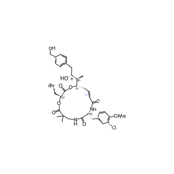 COc1ccc(C[C@H]2NC(=O)/C=C/C[C@@H]([C@H](C)[C@H](O)Cc3ccc(CO)cc3)OC(=O)[C@H](CC(C)C)OC(=O)C(C)(C)CNC2=O)cc1Cl